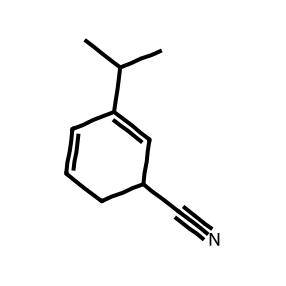 CC(C)C1=CC(C#N)CC=C1